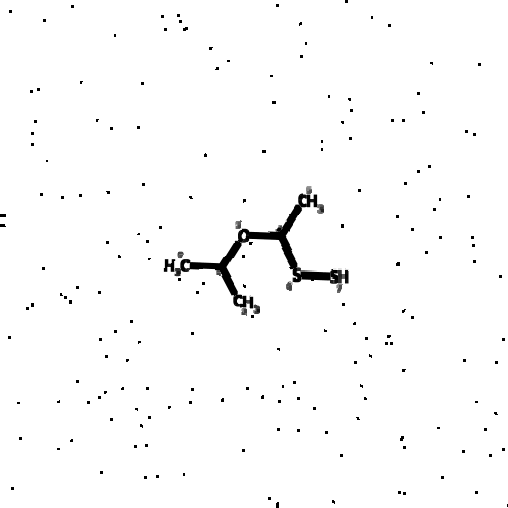 CC(C)OC(C)SS